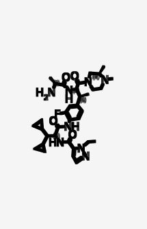 CCn1nccc1C(=O)N[C@H](C(=O)Nc1ccc([C@H](C)[C@@H](NC(=O)[C@H](C)N)C(=O)N2CCN(C)[C@H](C)C2)cc1F)C(C1CC1)C1CC1